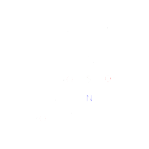 Cc1ccccc1S(=O)(=O)n1cccc1C=O